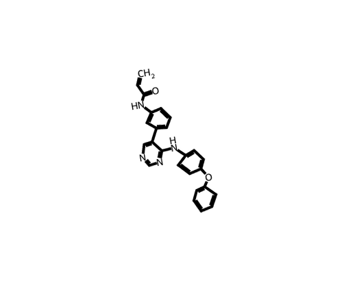 C=CC(=O)Nc1cccc(-c2cncnc2Nc2ccc(Oc3ccccc3)cc2)c1